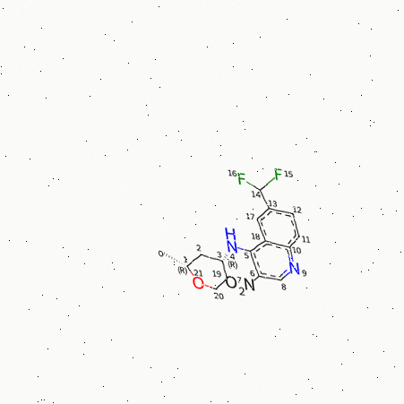 C[C@@H]1C[C@H](Nc2c([N+](=O)[O-])cnc3ccc(C(F)F)cc23)CCO1